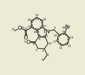 CCC1CC(=O)c2c(n(Cc3ccccc3Br)c3cccc(C(=O)OC)c23)C1